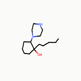 CCCCCC1(O)CCCCC1N1CCNCC1